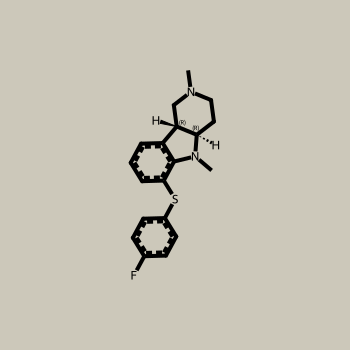 CN1CC[C@@H]2[C@@H](C1)c1cccc(Sc3ccc(F)cc3)c1N2C